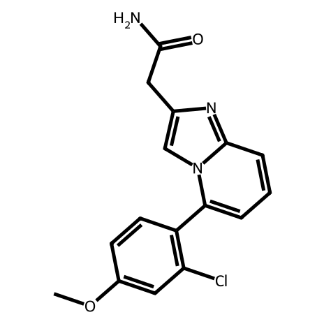 COc1ccc(-c2cccc3nc(CC(N)=O)cn23)c(Cl)c1